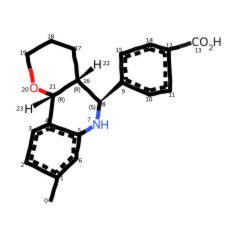 Cc1ccc2c(c1)N[C@H](c1ccc(C(=O)O)cc1)[C@H]1CCCO[C@@H]21